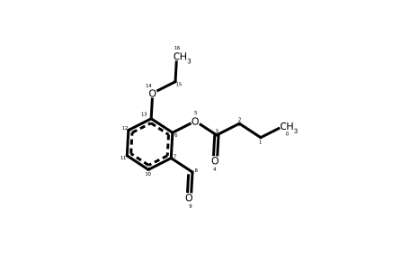 CC[CH]C(=O)Oc1c(C=O)cccc1OCC